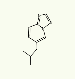 CC(C)Cc1ccc2ncnn2c1